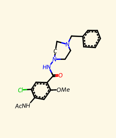 COc1cc(NC(C)=O)c(Cl)cc1C(=O)NN1CCN(Cc2ccccc2)CC1